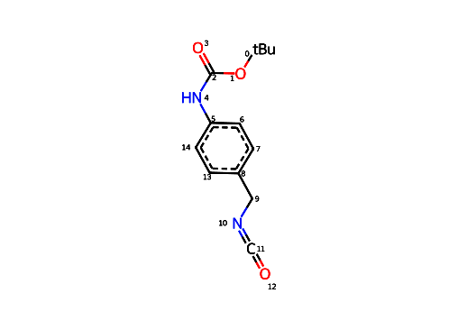 CC(C)(C)OC(=O)Nc1ccc(CN=C=O)cc1